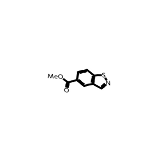 COC(=O)c1ccc2sncc2c1